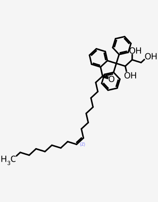 CCCCCCCC/C=C\CCCCCCCC(=O)c1ccccc1C(c1ccccc1)(c1ccccc1)C(O)C(O)CO